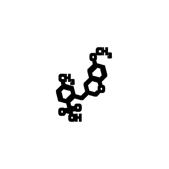 COc1ccc2c(c1)CC(Cc1cc(C)ccc1S(=O)(=O)O)CO2